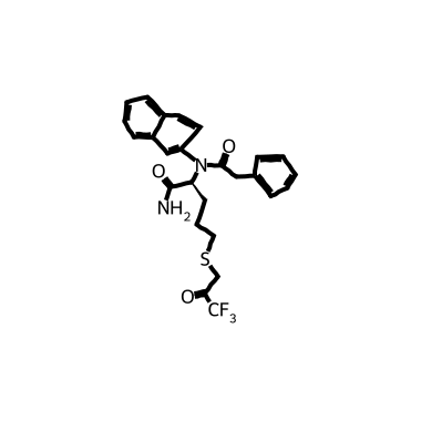 NC(=O)[C@H](CCCSCC(=O)C(F)(F)F)N(C(=O)Cc1ccccc1)c1ccc2ccccc2c1